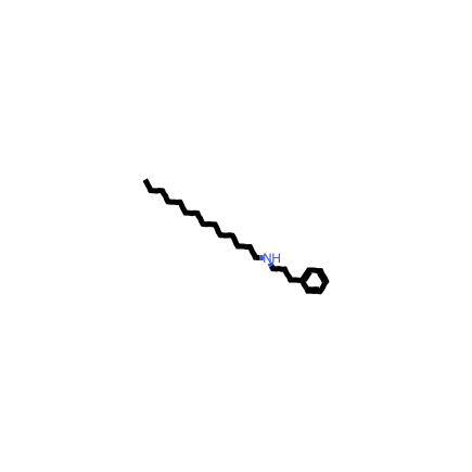 CCCCCCCCCCCCCCNCCCc1ccccc1